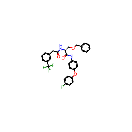 O=C(Cc1cccc(C(F)(F)F)c1)N[C@@H](COCc1ccccc1)C(=O)Nc1ccc(Oc2ccc(F)cc2)cc1